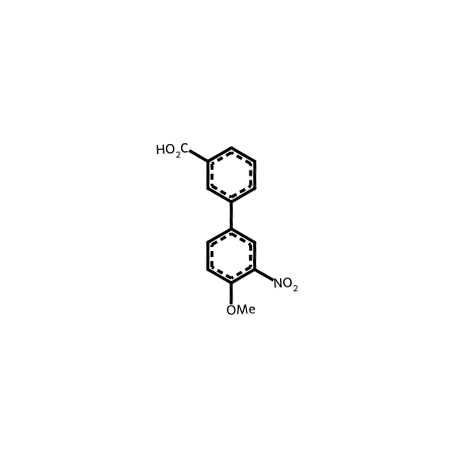 COc1ccc(-c2cccc(C(=O)O)c2)cc1[N+](=O)[O-]